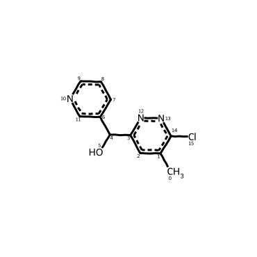 Cc1cc(C(O)c2cccnc2)nnc1Cl